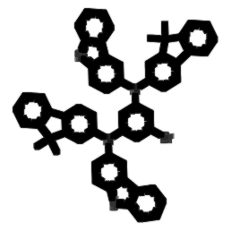 CC1(C)c2ccccc2-c2ccc(N(c3cc(Br)cc(N(c4ccc5c(c4)C(C)(C)c4ccccc4-5)c4ccc5sc6ccccc6c5c4)c3)c3ccc4sc5ccccc5c4c3)cc21